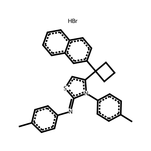 Br.Cc1ccc(N=c2scc(C3(c4ccc5ccccc5c4)CCC3)n2-c2ccc(C)cc2)cc1